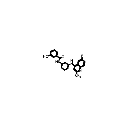 O=C(N[C@@H]1CCC[C@H](Nc2cc(C(F)(F)F)nc3ccc(F)cc23)C1)c1cccc(O)c1